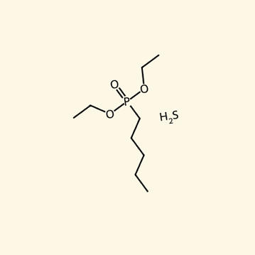 CCCCCP(=O)(OCC)OCC.S